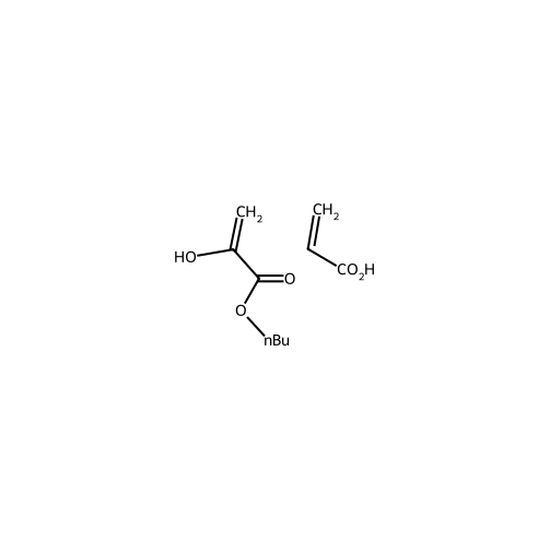 C=C(O)C(=O)OCCCC.C=CC(=O)O